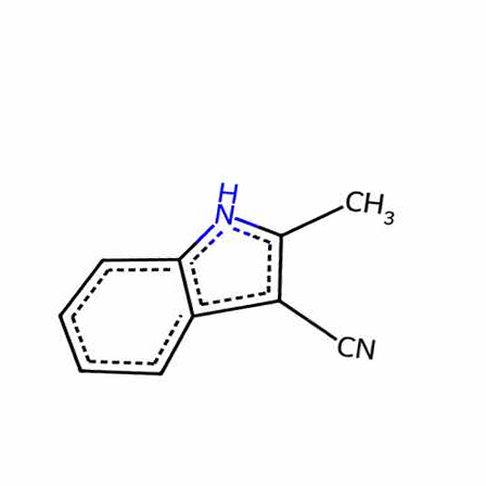 Cc1[nH]c2ccccc2c1C#N